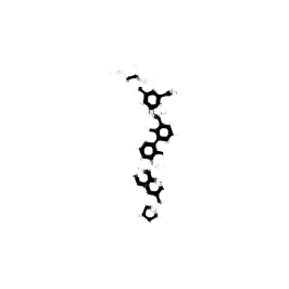 Cc1c(Nc2nccc3cc(CN4CCCC4)cnc23)cccc1-c1cccc(-c2nc3cc(CN[C@@H](C)CO)cc(C#N)c3o2)c1C